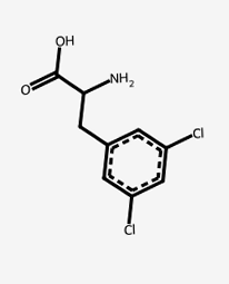 NC(Cc1cc(Cl)cc(Cl)c1)C(=O)O